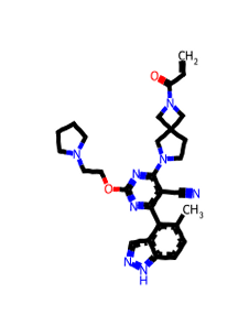 C=CC(=O)N1CC2(CCN(c3nc(OCCN4CCCC4)nc(-c4c(C)ccc5[nH]ncc45)c3C#N)C2)C1